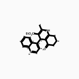 CCOC(=O)C1=C(C)NC2=C(C(=O)CCC2)C1c1ccnc2ccccc12